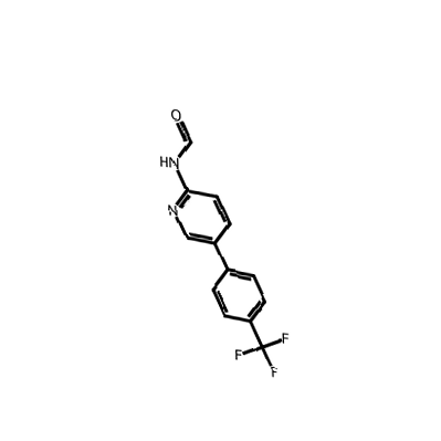 O=CNc1ccc(-c2ccc(C(F)(F)F)cc2)cn1